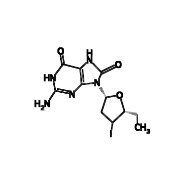 CC[C@H]1O[C@@H](n2c(=O)[nH]c3c(=O)[nH]c(N)nc32)CC1I